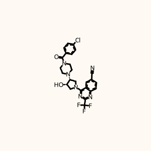 N#Cc1ccc2nc(C(F)(F)F)nc(N3C[C@@H](O)[C@H](N4CCN(C(=O)c5ccc(Cl)cc5)CC4)C3)c2c1